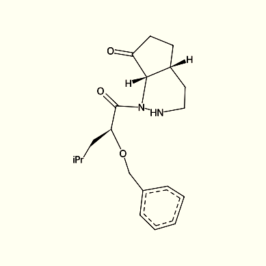 CC(C)C[C@H](OCc1ccccc1)C(=O)N1NCC[C@H]2CCC(=O)[C@H]21